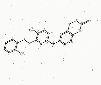 Cc1ccccc1CCc1nc(Nc2ccc3c(c2)CCC(=O)N3)ncc1C(F)(F)F